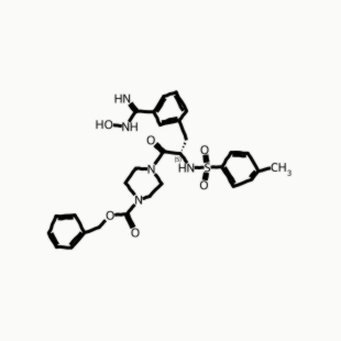 Cc1ccc(S(=O)(=O)N[C@@H](Cc2cccc(C(=N)NO)c2)C(=O)N2CCN(C(=O)OCc3ccccc3)CC2)cc1